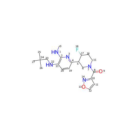 CNc1nc(C2CN(C(=O)c3ccon3)CCC2F)ccc1NCC(C)(C)C